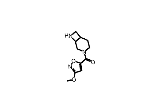 COc1cc(C(=O)N2CCC3CNC3C2)on1